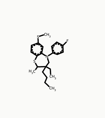 CCCCC1(CC)CN(c2ccc(F)cc2)c2cc(SC)ccc2SC1C